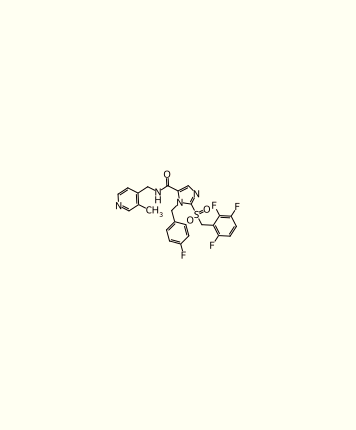 Cc1cnccc1CNC(=O)c1cnc(S(=O)(=O)Cc2c(F)ccc(F)c2F)n1Cc1ccc(F)cc1